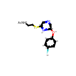 CC(=O)NCCSc1cncc(Oc2ccc(F)cc2)n1